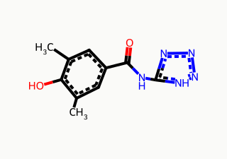 Cc1cc(C(=O)Nc2nnn[nH]2)cc(C)c1O